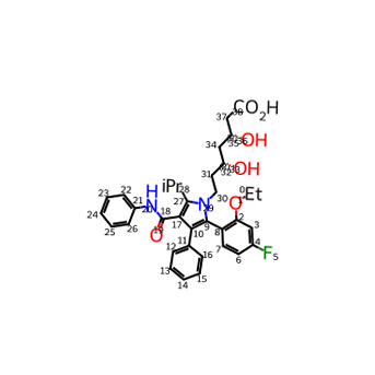 CCOc1cc(F)ccc1-c1c(-c2ccccc2)c(C(=O)Nc2ccccc2)c(C(C)C)n1CC[C@@H](O)C[C@@H](O)CC(=O)O